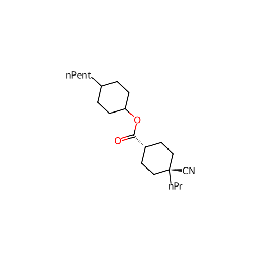 CCCCCC1CCC(OC(=O)[C@H]2CC[C@@](C#N)(CCC)CC2)CC1